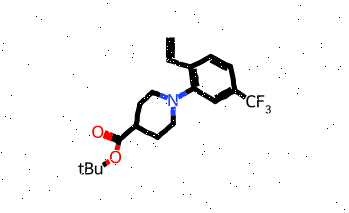 C=Cc1ccc(C(F)(F)F)cc1N1CCC(C(=O)OC(C)(C)C)CC1